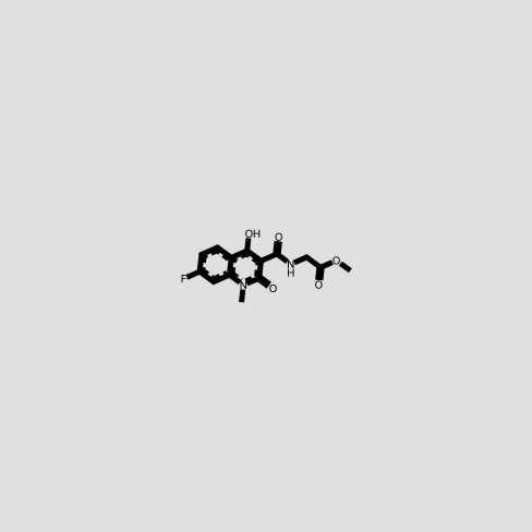 COC(=O)CNC(=O)c1c(O)c2ccc(F)cc2n(C)c1=O